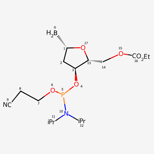 B[C@H]1C[C@H](OP(OCCC#N)N(C(C)C)C(C)C)[C@@H](COC(=O)OCC)O1